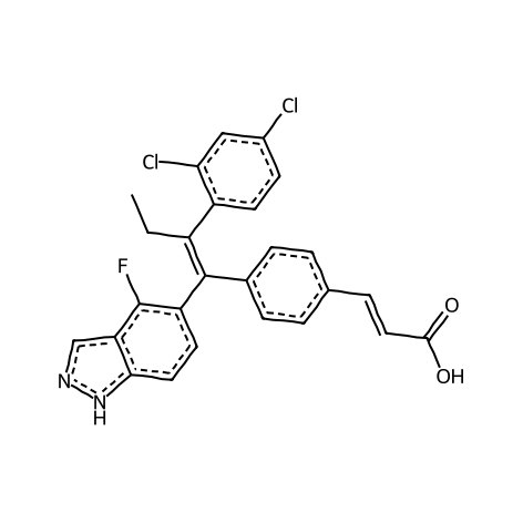 CCC(=C(c1ccc(C=CC(=O)O)cc1)c1ccc2[nH]ncc2c1F)c1ccc(Cl)cc1Cl